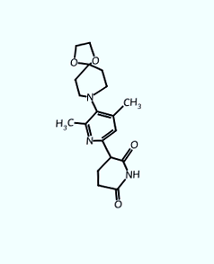 Cc1cc(C2CCC(=O)NC2=O)nc(C)c1N1CCC2(CC1)OCCO2